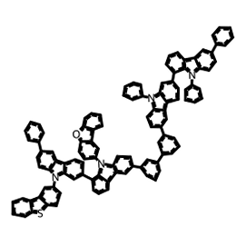 c1ccc(-c2ccc3c(c2)c2ccc(-c4cccc5c6cc(-c7cccc(-c8cccc(-c9ccc%10c(c9)c9ccc(-c%11cccc%12c%13cc(-c%14ccccc%14)ccc%13n(-c%13ccccc%13)c%11%12)cc9n%10-c9ccccc9)c8)c7)ccc6n(-c6ccc7oc8ccccc8c7c6)c45)cc2n3-c2ccc3sc4ccccc4c3c2)cc1